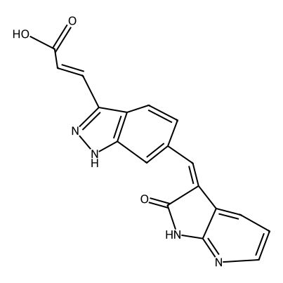 O=C(O)/C=C/c1n[nH]c2cc(C=C3C(=O)Nc4ncccc43)ccc12